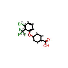 O=C(O)C1CCC(Oc2cccc(Br)c2C(F)(F)F)CC1